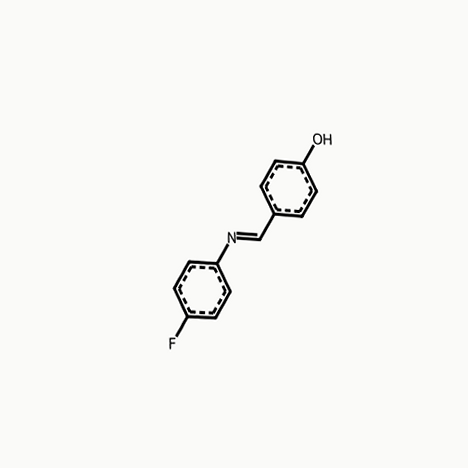 Oc1ccc(C=Nc2ccc(F)cc2)cc1